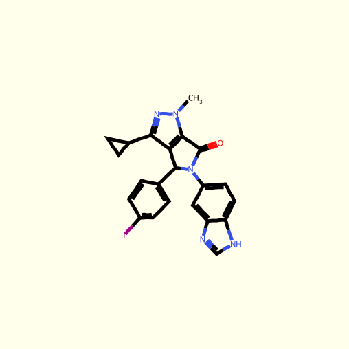 Cn1nc(C2CC2)c2c1C(=O)N(c1ccc3[nH]cnc3c1)C2c1ccc(I)cc1